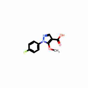 COc1c(C(=O)O)cnn1-c1ccc(F)cc1